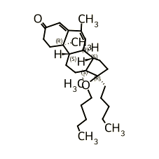 CCCCCO[C@]1(CCCCC)CC[C@H]2[C@@H]3C=C(C)C4=CC(=O)CC[C@]4(C)[C@H]3CC[C@@]21C